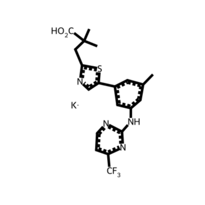 Cc1cc(Nc2nccc(C(F)(F)F)n2)cc(-c2cnc(CC(C)(C)C(=O)O)s2)c1.[K]